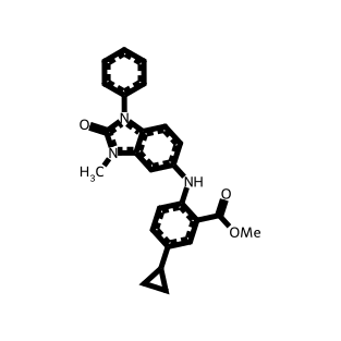 COC(=O)c1cc(C2CC2)ccc1Nc1ccc2c(c1)n(C)c(=O)n2-c1ccccc1